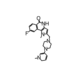 CN1C=C(N2CCN(Cc3cc4[nH]c(=O)c5ccc(F)cc5c4n3C)CC2)C=CC1